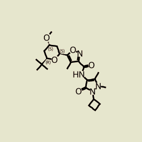 CO[C@@H]1C[C@@H](c2onc(C(=O)Nc3c(C)n(C)n(C4CCC4)c3=O)c2C)O[C@@H](C(C)(C)C)C1